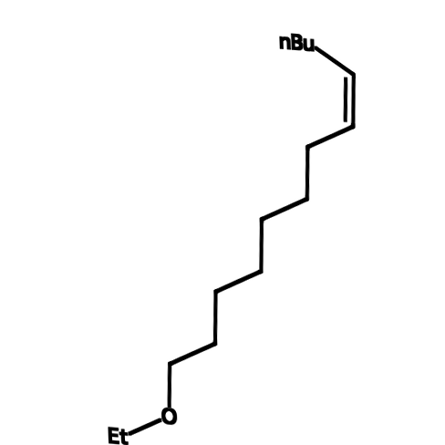 CCCC/C=C\CCCCCCCOCC